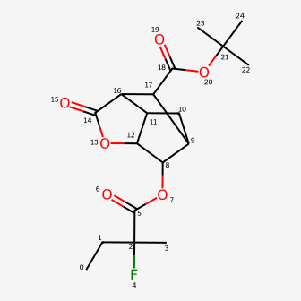 CCC(C)(F)C(=O)OC1C2CC3C1OC(=O)C3C2C(=O)OC(C)(C)C